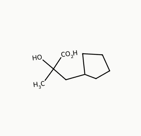 CC(O)(CC1CCCC1)C(=O)O